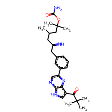 CC(CC(=N)Cc1cccc(-c2cnc3[nH]cc(C(=O)C(C)(C)C)c3n2)c1)CC(C)(C)OC(N)=O